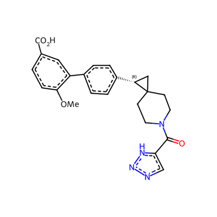 COc1ccc(C(=O)O)cc1-c1ccc([C@@H]2CC23CCN(C(=O)c2cnn[nH]2)CC3)cc1